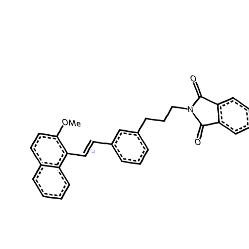 COc1ccc2ccccc2c1/C=C/c1cccc(CCCN2C(=O)c3ccccc3C2=O)c1